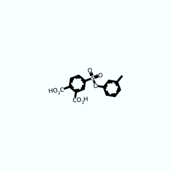 Cc1cccc(OS(=O)(=O)c2ccc(C(=O)O)c(C(=O)O)c2)c1